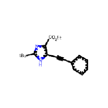 CCOC(=O)c1nc(C(C)(C)C)[nH]c1C#Cc1ccccc1